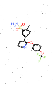 Cc1ccc(-c2cccnc2Oc2ccc(OC(F)(F)F)cc2)cc1S(N)(=O)=O